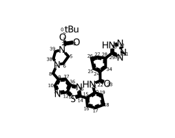 CC(C)(C)OC(=O)N1CCN(Cc2cnc3sc(-c4ccccc4NC(=O)c4cccc(-c5nnn[nH]5)c4)nc3c2)CC1